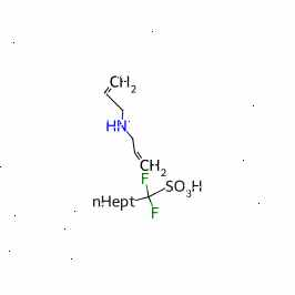 C=CCNCC=C.CCCCCCCC(F)(F)S(=O)(=O)O